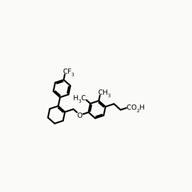 Cc1c(CCC(=O)O)ccc(OCC2=C(c3ccc(C(F)(F)F)cc3)CCCC2)c1C